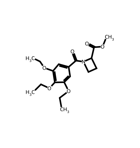 CCOc1cc(C(=O)N2CCC2C(=O)OC)cc(OCC)c1OCC